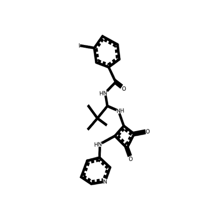 CC(C)(C)C(NC(=O)c1cccc(I)c1)Nc1c(Nc2cccnc2)c(=O)c1=O